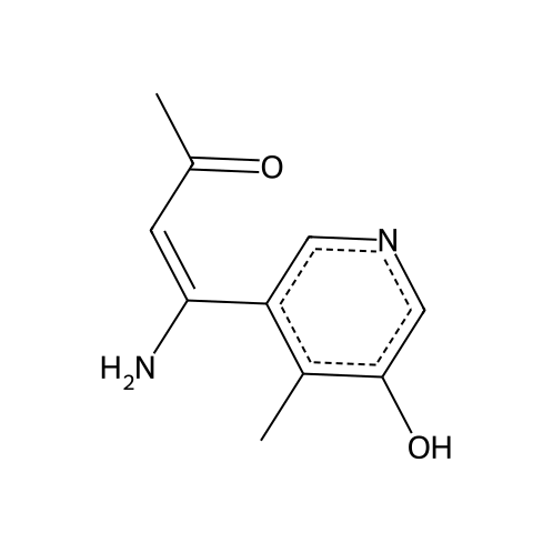 CC(=O)/C=C(/N)c1cncc(O)c1C